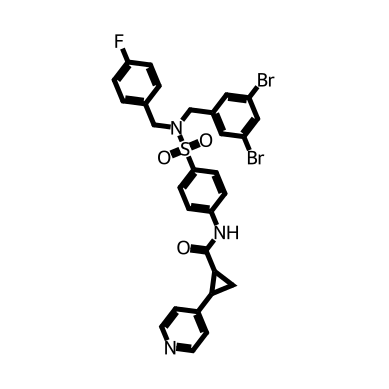 O=C(Nc1ccc(S(=O)(=O)N(Cc2ccc(F)cc2)Cc2cc(Br)cc(Br)c2)cc1)C1CC1c1ccncc1